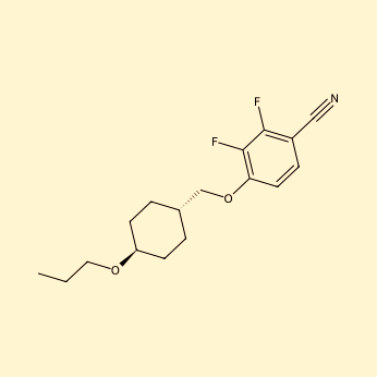 CCCO[C@H]1CC[C@H](COc2ccc(C#N)c(F)c2F)CC1